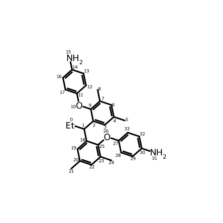 CCC(c1cc(C)cc(C)c1Oc1ccc(N)cc1)c1cc(C)cc(C)c1Oc1ccc(N)cc1